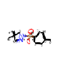 Cc1ccc(S(=O)(=O)N/N=C\C(C)(C)C)cc1